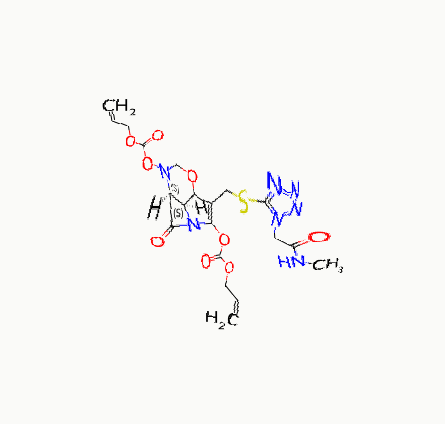 C=CCOC(=O)OC1=C(CSc2nnnn2CC(=O)NC)C2OCN(OC(=O)OCC=C)[C@@H]3C(=O)N1[C@H]23